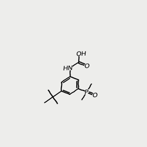 CC(C)(C)c1cc(NC(=O)O)cc(P(C)(C)=O)c1